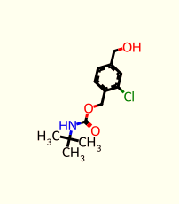 CC(C)(C)NC(=O)OCc1ccc(CO)cc1Cl